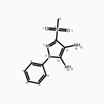 CS(=O)(=O)c1nn(-c2ccccc2)c(N)c1N